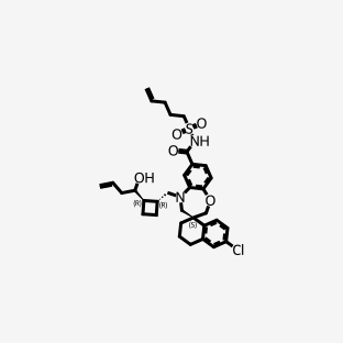 C=CCCCS(=O)(=O)NC(=O)c1ccc2c(c1)N(C[C@@H]1CC[C@H]1C(O)CC=C)C[C@@]1(CCCc3cc(Cl)ccc31)CO2